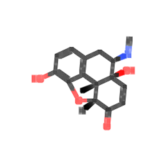 C=N[C@@H]1Cc2ccc(O)c3c2[C@@]2(C)[C@@H](O3)C(=O)C=C[C@@]12O